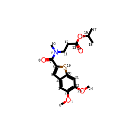 COc1cc2cc(C(=O)N(C)CCC(=O)OC(C)C)sc2cc1OC